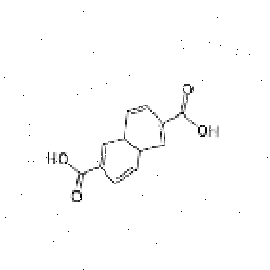 O=C(O)C1=CC2C=CC(C(=O)O)=CC2C=C1